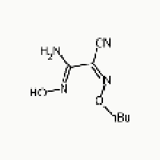 CCCCON=C(C#N)C(N)=NO